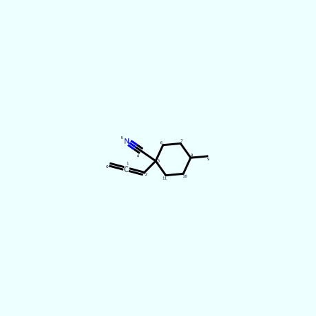 C=C=CC1(C#N)CCC(C)CC1